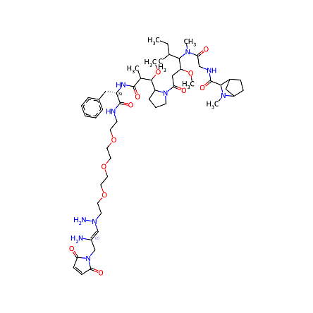 CCC(C)C(C(CC(=O)N1CCCC1C(OC)C(C)C(=O)N[C@@H](Cc1ccccc1)C(=O)NCCOCCOCCOCCN(N)/C=C(\N)CN1C(=O)C=CC1=O)OC)N(C)C(=O)CNC(=O)C1C2CCC(C2)N1C